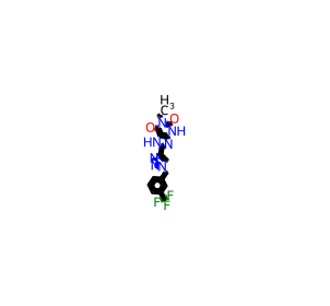 CCn1c(=O)[nH]c2nc(-c3cn(Cc4cccc(C(F)(F)F)c4)nn3)[nH]c2c1=O